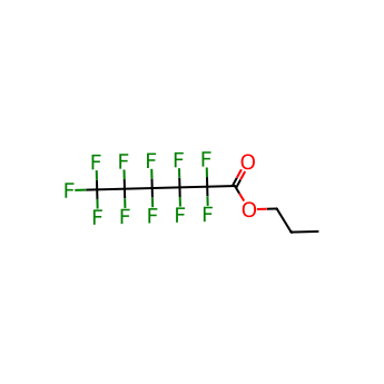 CCCOC(=O)C(F)(F)C(F)(F)C(F)(F)C(F)(F)C(F)(F)F